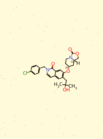 CC(C)(O)Cc1cc2ccn(Cc3ccc(Cl)cc3)c(=O)c2cc1O[C@H]1CCN2C(=O)OC[C@@H]2C1